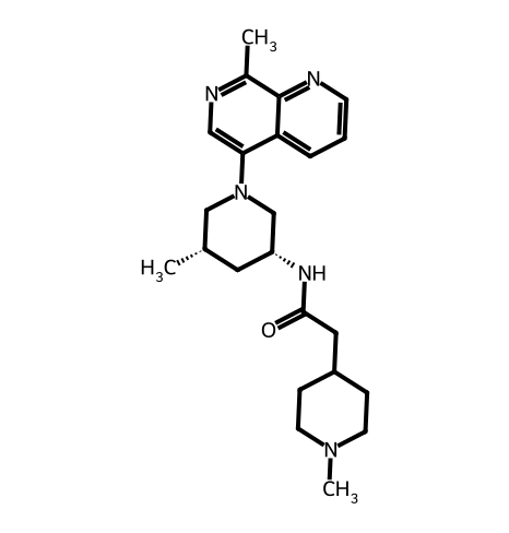 Cc1ncc(N2C[C@@H](C)C[C@@H](NC(=O)CC3CCN(C)CC3)C2)c2cccnc12